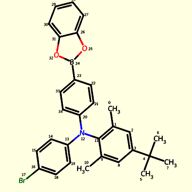 Cc1cc(C(C)(C)C)cc(C)c1N(c1ccc(Br)cc1)c1ccc(B2Oc3ccccc3O2)cc1